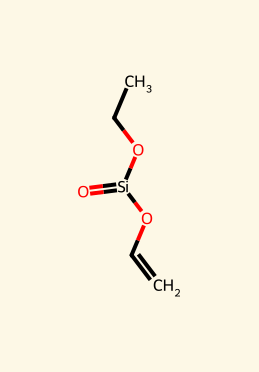 C=CO[Si](=O)OCC